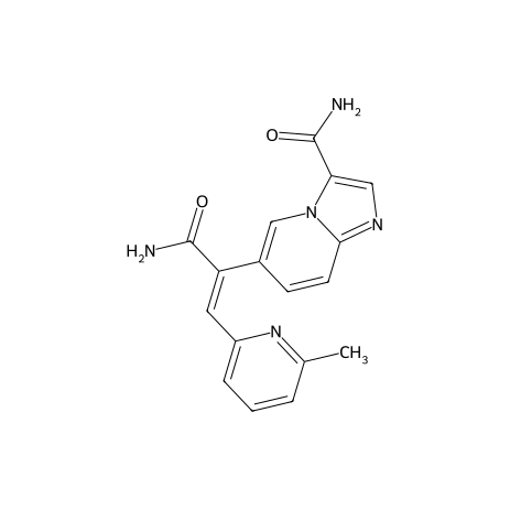 Cc1cccc(/C=C(/C(N)=O)c2ccc3ncc(C(N)=O)n3c2)n1